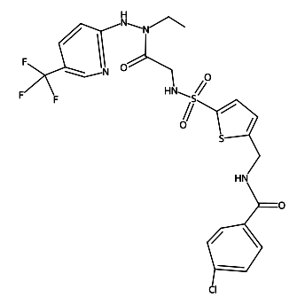 CCN(Nc1ccc(C(F)(F)F)cn1)C(=O)CNS(=O)(=O)c1ccc(CNC(=O)c2ccc(Cl)cc2)s1